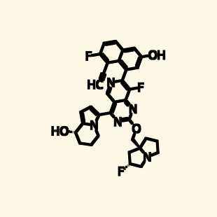 C#Cc1c(F)ccc2cc(O)cc(-c3ncc4c(-c5ccc6n5CCC[C@@H]6O)nc(OC[C@@]56CCCN5C[C@H](F)C6)nc4c3F)c12